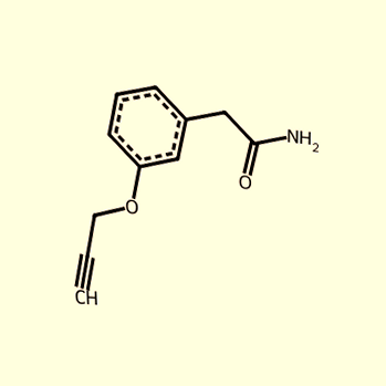 C#CCOc1cccc(CC(N)=O)c1